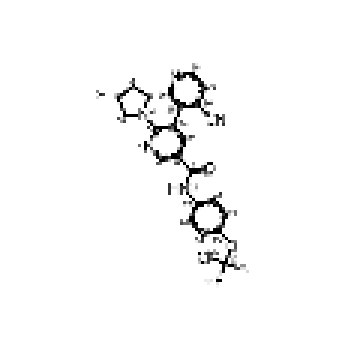 C[C@@H]1CCN(c2ncc(C(=O)Nc3ccc(OC(F)(F)Cl)cc3)cc2-c2cnccc2C#N)C1